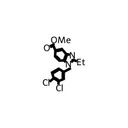 CCc1nc2cc(C(=O)OC)ccc2n1Cc1ccc(Cl)c(Cl)c1